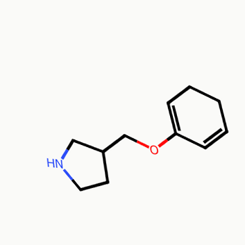 C1=CC(OCC2CCNC2)=CCC1